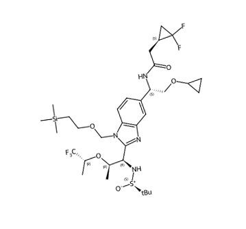 C[C@@H](O[C@H](C)C(F)(F)F)[C@H](N[S@+]([O-])C(C)(C)C)c1nc2cc([C@@H](COC3CC3)NC(=O)C[C@H]3CC3(F)F)ccc2n1COCC[Si](C)(C)C